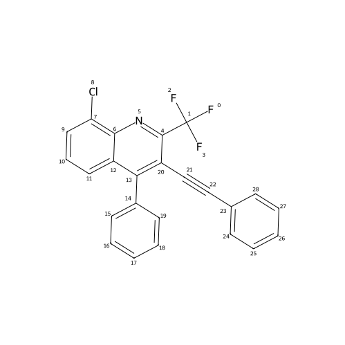 FC(F)(F)c1nc2c(Cl)cccc2c(-c2ccccc2)c1C#Cc1ccccc1